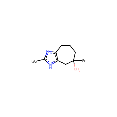 BC1(C(C)C)CCCc2nc(C(C)(C)C)[nH]c2C1